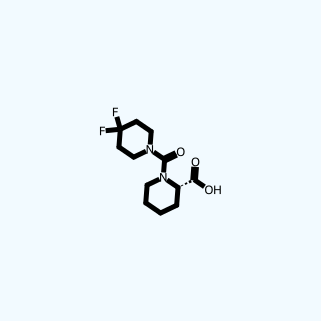 O=C(O)[C@@H]1CCCCN1C(=O)N1CCC(F)(F)CC1